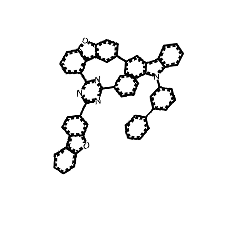 c1ccc(-c2cccc(-n3c4ccccc4c4cc(-c5ccc6oc7cccc(-c8nc(-c9ccccc9)nc(-c9ccc%10c(c9)oc9ccccc9%10)n8)c7c6c5)ccc43)c2)cc1